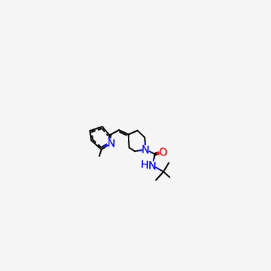 Cc1cccc(C=C2CCN(C(=O)NC(C)(C)C)CC2)n1